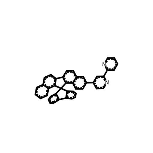 c1ccc(-c2cc(-c3ccc4c5c(ccc4c3)-c3ccc4ccccc4c3C53c4ccccc4-c4ccccc43)ccn2)nc1